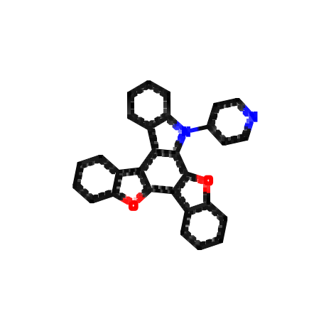 c1ccc2c(c1)oc1c2c2oc3ccccc3c2c2c3ccccc3n(-c3ccncc3)c12